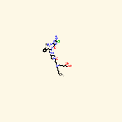 CCCCCCN(CCCC[C@H](O)CO)CCCC(=O)N1CCC(CNC[C@H](CNC(=O)c2nc(Cl)c(N)nc2N)Cc2ccccc2C)CC1